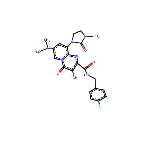 CN1CCN(c2cc(N(C)C)cn3c(=O)c(O)c(C(=O)NCc4ccc(F)cc4)nc23)C1=O